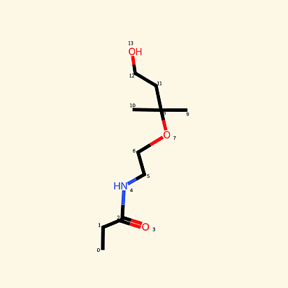 CCC(=O)NCCOC(C)(C)CCO